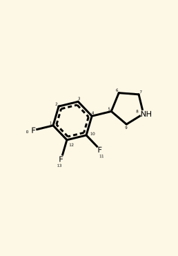 Fc1ccc(C2CCNC2)c(F)c1F